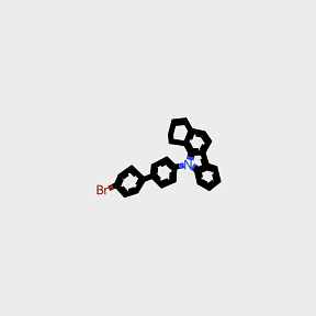 Brc1ccc(-c2ccc(-n3c4ccccc4c4ccc5c(c43)CCC=C5)cc2)cc1